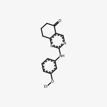 CCOc1cccc(Nc2ncc3c(n2)CCCC3=O)c1